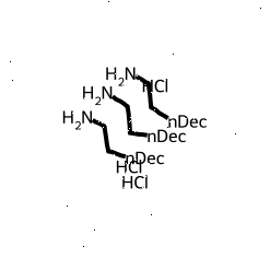 CCCCCCCCCCCCN.CCCCCCCCCCCCN.CCCCCCCCCCCCN.Cl.Cl.Cl